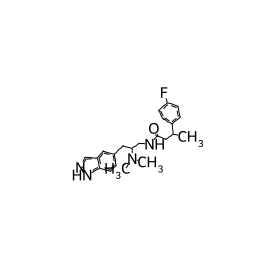 CC(CC(=O)NCC(Cc1ccc2[nH]ncc2c1)N(C)C)c1ccc(F)cc1